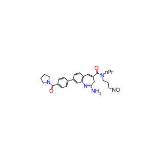 CCCN(CCCN=O)C(=O)C1=Cc2ccc(-c3ccc(C(=O)N4CCCC4)cc3)cc2N=C(N)C1